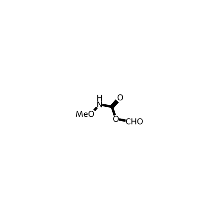 CONC(=O)OC=O